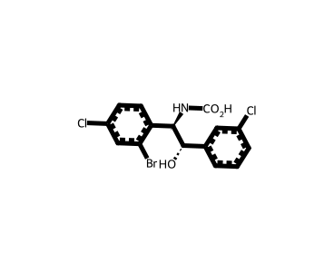 O=C(O)N[C@H](c1ccc(Cl)cc1Br)[C@@H](O)c1cccc(Cl)c1